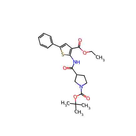 CCOC(=O)c1cc(-c2ccccc2)sc1NC(=O)C1CCN(C(=O)OC(C)(C)C)C1